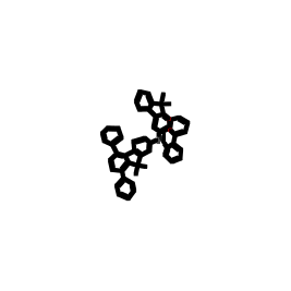 CC1(C)c2ccccc2-c2cc(N(c3ccc4c(c3)C(C)(C)c3c(-c5ccccc5)ccc(-c5ccccc5)c3-4)c3ccccc3-c3ccccc3)ccc21